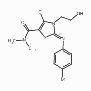 Cc1c(C(=O)N(C)C)s/c(=N\c2ccc(Br)cc2)n1CCO